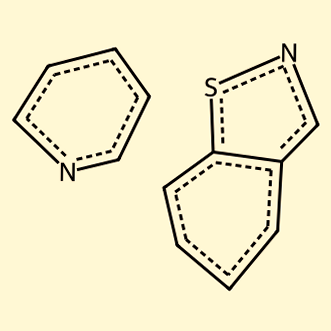 c1ccc2sncc2c1.c1ccncc1